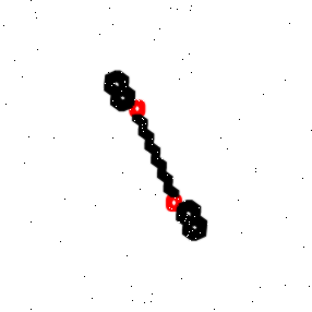 c1ccc2cc(OCCCCCCCCCCCCOc3ccc4ccccc4c3)ccc2c1